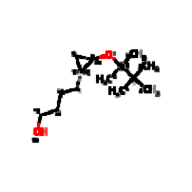 CC(C)(C)[Si](C)(C)O[C@@H]1C[C@H]1CCCCO